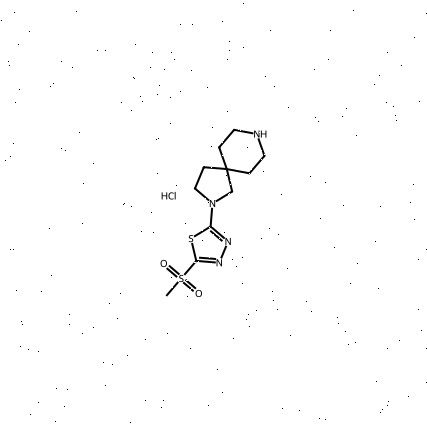 CS(=O)(=O)c1nnc(N2CCC3(CCNCC3)C2)s1.Cl